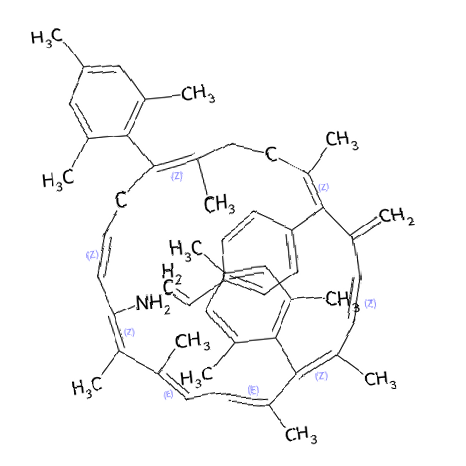 C=Cc1ccc(/C2=C(/C)CC/C(C)=C(\c3c(C)cc(C)cc3C)C\C=C/C(N)=C(C)/C(C)=C/C=C(C)/C(c3c(C)cc(C)cc3C)=C(C)/C=C\C2=C)cc1